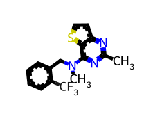 Cc1nc(N(C)Cc2ccccc2C(F)(F)F)c2sccc2n1